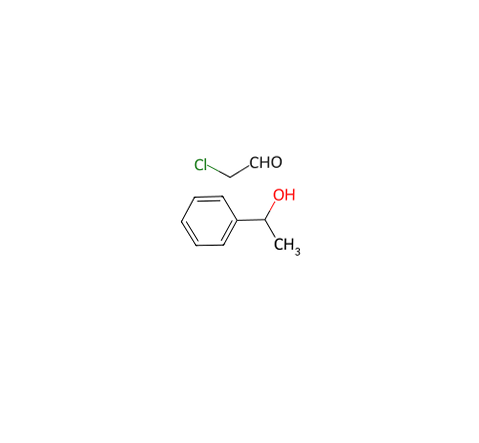 CC(O)c1ccccc1.O=CCCl